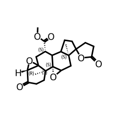 COC(=O)[C@H]1CC23O[C@H]2C(=O)CC[C@]3(C)[C@]23OC2C[C@@]2(C)C(CCC24CCC(=O)O4)C13